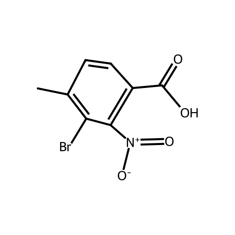 Cc1ccc(C(=O)O)c([N+](=O)[O-])c1Br